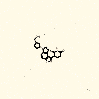 O=C1CCC(c2noc3ccc4c(ccn4[C@@H]4CC[C@@H](CO)C4)c23)C(=O)N1